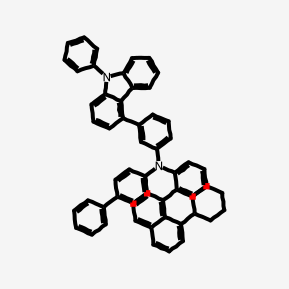 c1ccc(-c2ccc(N(c3cccc(-c4cccc5c4c4ccccc4n5-c4ccccc4)c3)c3ccccc3-c3cccc4cccc(C5CCCCC5)c34)cc2)cc1